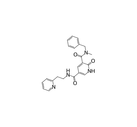 CN(Cc1ccccc1)C(=O)c1cc(C(=O)NCCc2ccccn2)c[nH]c1=O